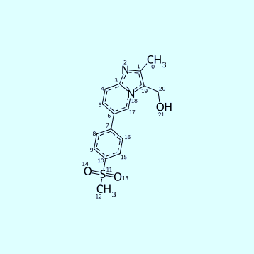 Cc1nc2ccc(-c3ccc(S(C)(=O)=O)cc3)cn2c1CO